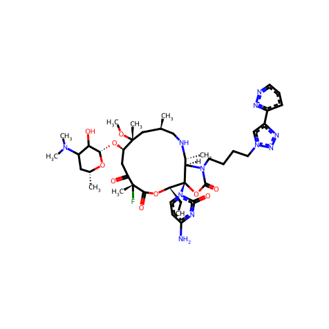 CC[C@H]1OC(=O)[C@](C)(F)C(=O)C[C@@H](O[C@@H]2O[C@H](C)CC(N(C)C)C2O)[C@](C)(OC)C[C@@H](C)CN[C@H](C)[C@H]2N(CCCCn3cc(-c4cccnn4)nn3)C(=O)O[C@]12n1ccc(N)nc1=O